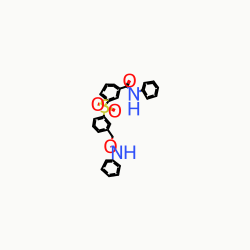 O=C(Nc1ccccc1)c1cccc(S(=O)(=O)c2cccc(CONc3ccccc3)c2)c1